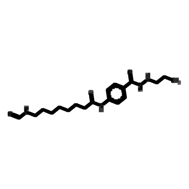 CCCNNC(=O)c1ccc(NC(=O)CCCCCCCNC=O)cc1